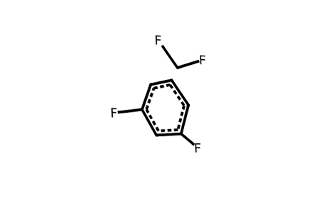 FCF.Fc1cccc(F)c1